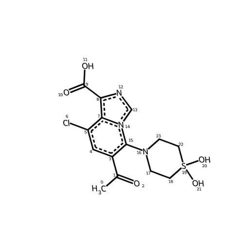 CC(=O)c1cc(Cl)c2c(C(=O)O)ncn2c1N1CCS(O)(O)CC1